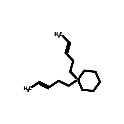 CC=CCC[Si]1(CCC=CC)CCCCC1